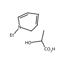 CC(O)C(=O)O.CCN1C=CC=CC1